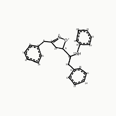 c1ccc(CC2=NOC(C(Cc3ccccc3)Nc3ccccc3)C2)cc1